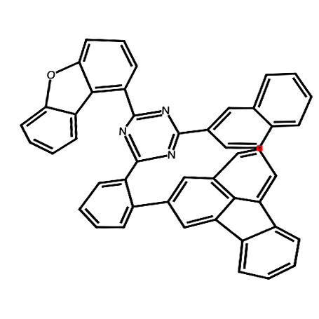 c1ccc(-c2nc(-c3ccc4ccccc4c3)nc(-c3cccc4oc5ccccc5c34)n2)c(-c2cc3c4c(cccc4c2)-c2ccccc2-3)c1